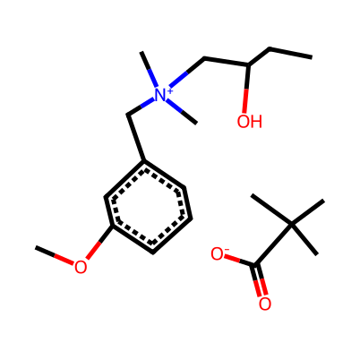 CC(C)(C)C(=O)[O-].CCC(O)C[N+](C)(C)Cc1cccc(OC)c1